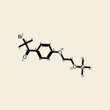 CC(C)(Br)C(=O)c1ccc(OCCO[Si](C)(C)C)cc1